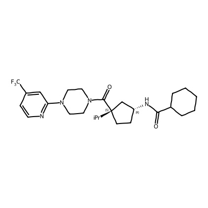 CC(C)[C@]1(C(=O)N2CCN(c3cc(C(F)(F)F)ccn3)CC2)CC[C@@H](NC(=O)C2CCCCC2)C1